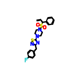 C=CC(c1ccccc1)S(=O)(=O)N1CCN(c2nc(Cc3ccc(F)cc3)ns2)CC1